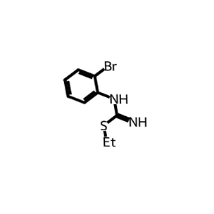 CCSC(=N)Nc1ccccc1Br